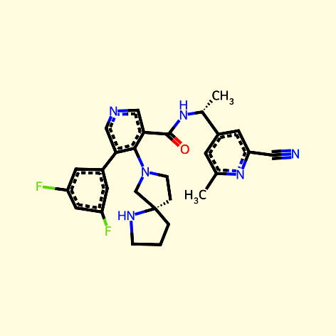 Cc1cc([C@@H](C)NC(=O)c2cncc(-c3cc(F)cc(F)c3)c2N2CC[C@@]3(CCCN3)C2)cc(C#N)n1